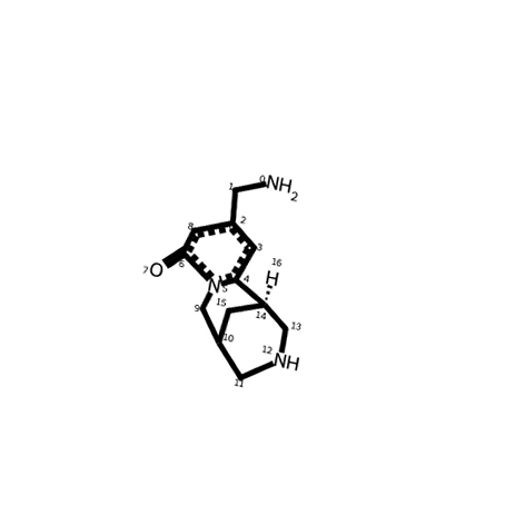 NCc1cc2n(c(=O)c1)CC1CNC[C@H]2C1